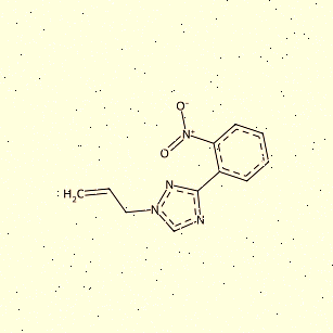 C=CCn1cnc(-c2ccccc2[N+](=O)[O-])n1